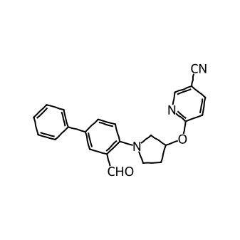 N#Cc1ccc(OC2CCN(c3ccc(-c4ccccc4)cc3C=O)C2)nc1